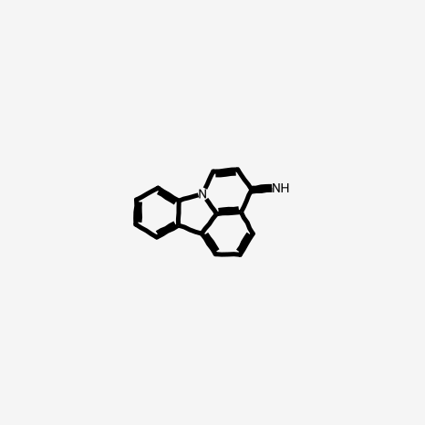 N=c1ccn2c3ccccc3c3cccc1c32